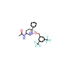 CC(=O)N[C@H]1CC[C@@](COCc2cc(C(F)(F)F)cc(C(F)(F)F)c2)(c2ccccc2)NC1